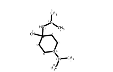 [C-]#[N+]C1(NN(C)C)CCN(N(C)C)CC1